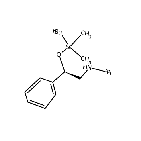 CC(C)NC[C@H](O[Si](C)(C)C(C)(C)C)c1ccccc1